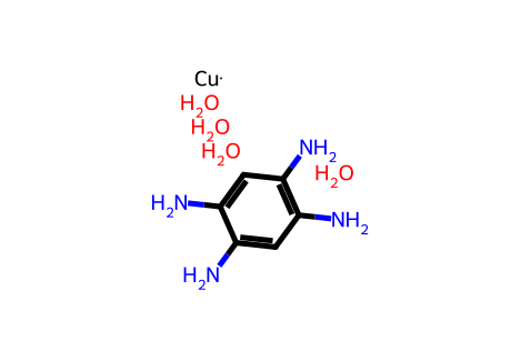 Nc1cc(N)c(N)cc1N.O.O.O.O.[Cu]